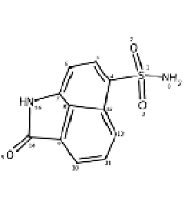 NS(=O)(=O)c1ccc2c3c(cccc13)C(=O)N2